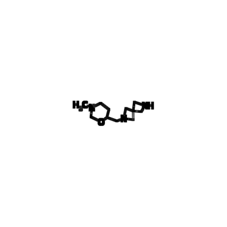 CN1CCC(CN2CC3(CNC3)C2)OC1